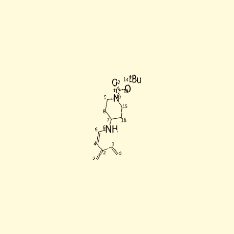 C=CC(=C)/C=C\NC1CCN(C(=O)OC(C)(C)C)CC1